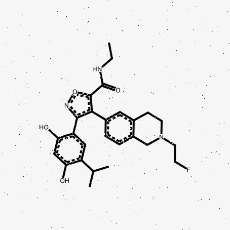 CCNC(=O)c1onc(-c2cc(C(C)C)c(O)cc2O)c1-c1ccc2c(c1)CCN(CCF)C2